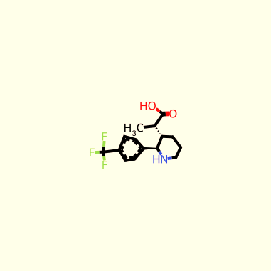 CC(C(=O)O)[C@@H]1CCCN[C@H]1c1ccc(C(F)(F)F)cc1